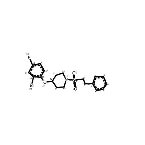 O=S(=O)(C[CH]c1ccccc1)N1CCC(Oc2ccc(F)cc2Br)CC1